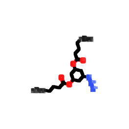 CCCCCCCCCCCCCC(=O)OC1CC(N=[N+]=[N-])CC(OC(=O)CCCCCCCCCCCCC)C1